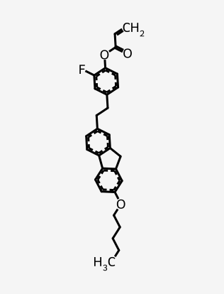 C=CC(=O)Oc1ccc(CCc2ccc3c(c2)Cc2cc(OCCCCC)ccc2-3)cc1F